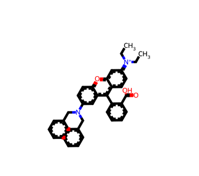 CC[N+](CC)=c1ccc2c(-c3ccccc3C(=O)O)c3cc(N(Cc4ccccc4)Cc4ccccc4)ccc3oc-2c1